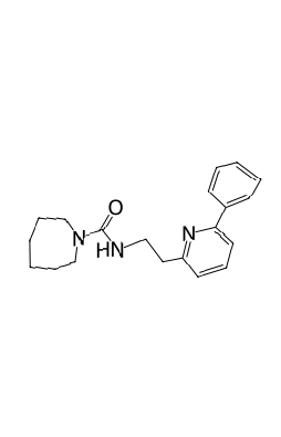 O=C(NCCc1cccc(-c2ccccc2)n1)N1CCCCCC1